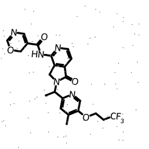 Cc1cc(C(C)N2Cc3c(ccnc3NC(=O)C3=CN=COC3)C2=O)ncc1OCCC(F)(F)F